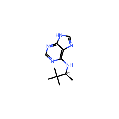 C[C@H](Nc1ncnc2[nH]cnc12)C(C)(C)C